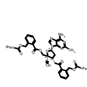 C#C[C@]1(COC(=O)c2ccccc2COC(=O)CCCCC)O[C@@H](n2cnc3c(N)nc(C)nc32)C[C@@H]1CC(=O)c1ccccc1COC(=O)CCCCC